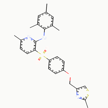 Cc1cc(C)c(Nc2nc(C)ccc2S(=O)(=O)c2ccc(OCc3csc(C)n3)cc2)c(C)c1